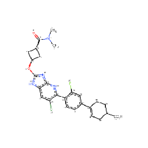 CN(C)C(=O)[C@H]1C[C@@H](Oc2nc3nc(-c4ccc(C5=CCC(C(=O)O)CC5)cc4F)c(Cl)cc3[nH]2)C1